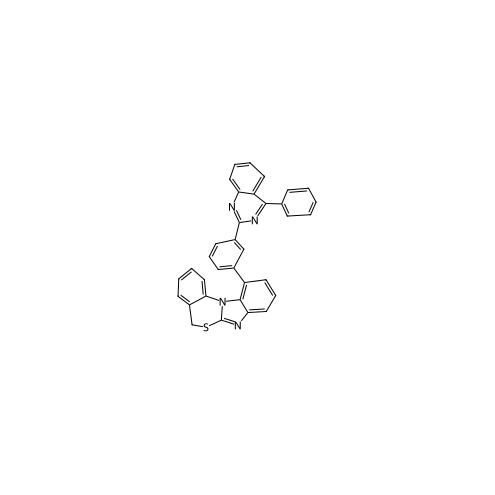 c1ccc(-c2nc(-c3cccc(-c4cccc5nc6n(c45)-c4ccccc4CS6)c3)nc3ccccc23)cc1